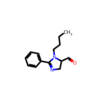 CCCCN1C(c2ccccc2)=NCC1C=O